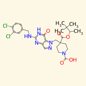 CC(OC(=O)C1(Cn2ncc3nc(NCc4ccc(Cl)c(Cl)c4)[nH]c(=O)c32)CCN(C(=O)O)CC1)C(C)(C)C